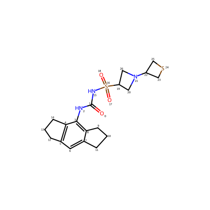 O=C(Nc1c2c(cc3c1CCC3)CCC2)NS(=O)(=O)C1CN(C2CSC2)C1